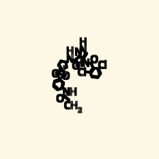 C=CC(=O)Nc1cccc(S(=O)(=O)N2CC[C@@H](NC(=O)c3n[nH]cc3NC(=O)c3c(Cl)cccc3Cl)C2)c1